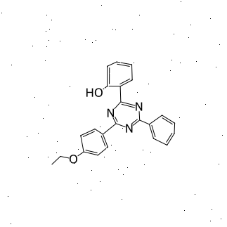 CCOc1ccc(-c2nc(-c3ccccc3)nc(-c3ccccc3O)n2)cc1